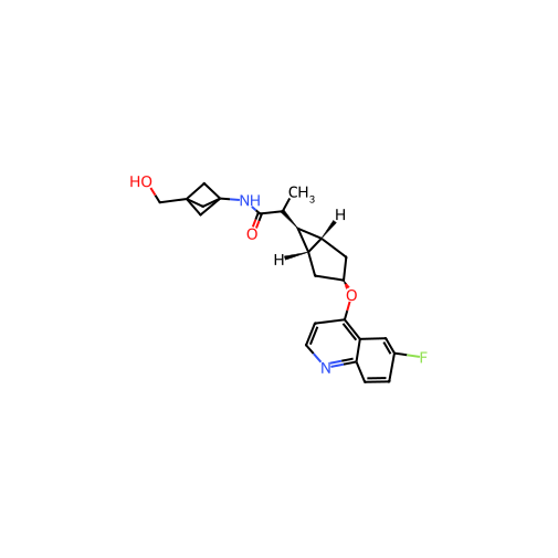 CC(C(=O)NC12CC(CO)(C1)C2)[C@H]1[C@@H]2C[C@@H](Oc3ccnc4ccc(F)cc34)C[C@@H]21